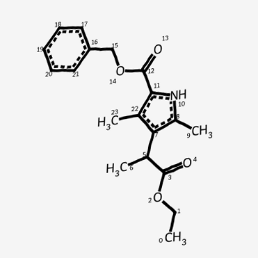 CCOC(=O)C(C)c1c(C)[nH]c(C(=O)OCc2ccccc2)c1C